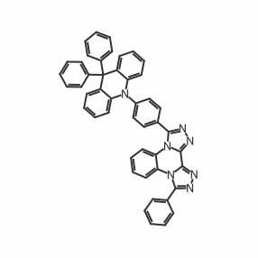 c1ccc(-c2nnc3c4nnc(-c5ccc(N6c7ccccc7C(c7ccccc7)(c7ccccc7)c7ccccc76)cc5)n4c4ccccc4n23)cc1